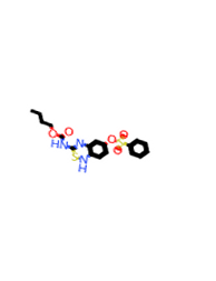 CCCCOC(=O)NC1=Nc2cc(OS(=O)(=O)c3ccccc3)ccc2NS1